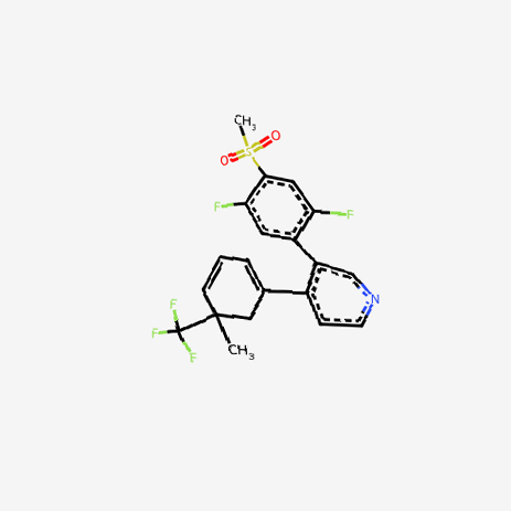 CC1(C(F)(F)F)C=CC=C(c2ccncc2-c2cc(F)c(S(C)(=O)=O)cc2F)C1